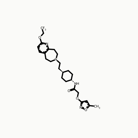 Cc1cc(OCC(=O)N[C@H]2CC[C@H](CCN3CCc4ccc(OCC(F)(F)F)nc4CC3)CC2)no1